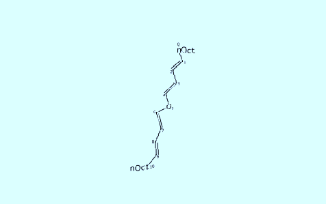 CCCCCCCCC=CC=COC=CC=CCCCCCCCC